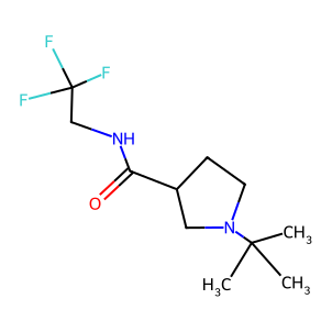 CC(C)(C)N1CCC(C(=O)NCC(F)(F)F)C1